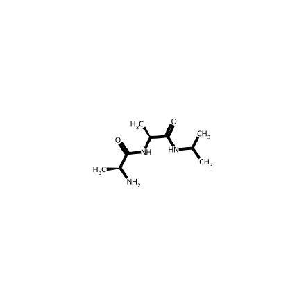 CC(C)NC(=O)[C@H](C)NC(=O)[C@H](C)N